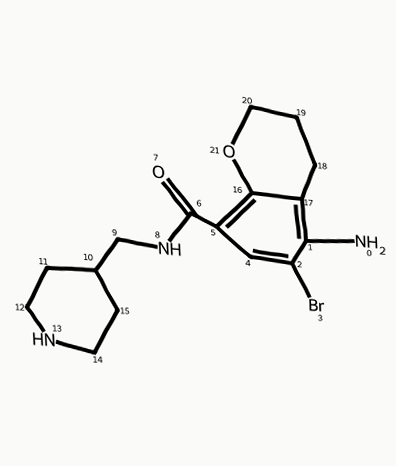 Nc1c(Br)cc(C(=O)NCC2CCNCC2)c2c1CCCO2